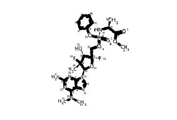 COC(=O)[C@H](C)N[P@](=S)(OC[C@@]1(F)O[C@@H](n2cnc3c(N(C)C)nc(N)nc32)[C@](C)(F)[C@@H]1O)Oc1ccccc1